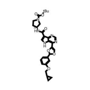 CC(C)(C)OC(=O)N1CC[C@H](NC(=O)c2c[nH]c3c(C4=COC(c5cccc(OCC6CC6)c5)O4)ncnc23)C1